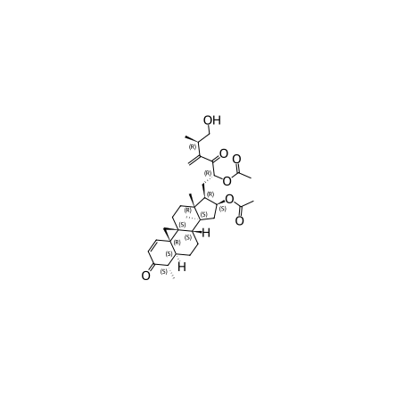 C=C(C(=O)[C@@H](C[C@H]1[C@@H](OC(C)=O)C[C@@]2(C)[C@@H]3CC[C@H]4[C@H](C)C(=O)C=C[C@@]45C[C@@]35CC[C@]12C)OC(C)=O)[C@@H](C)CO